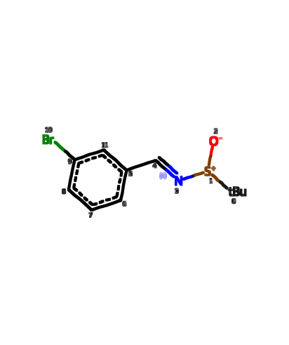 CC(C)(C)[S+]([O-])/N=C/c1cccc(Br)c1